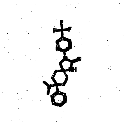 CN(C)[C@]1(c2ccccc2)CC[C@]2(CC1)CN(c1ccc(C(F)(F)F)cn1)C(=O)N2